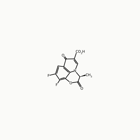 C[C@H]1C(=O)Oc2c(F)c(F)cc3c(=O)c(C(=O)O)cn1c23